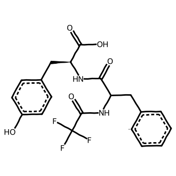 O=C(N[C@@H](Cc1ccc(O)cc1)C(=O)O)C(Cc1[c]cccc1)NC(=O)C(F)(F)F